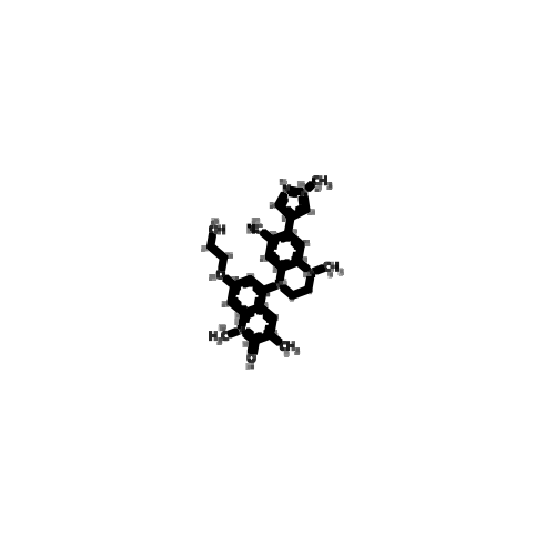 Cc1cc2c(N3CCN(C)c4cc(-c5cnn(C)c5)c(C#N)cc43)cc(OCCO)cc2n(C)c1=O